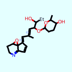 CCC(O)C(/C=C(C)/C=C1\C=CC2=NCCC3OC213)OC1CCC(O)C(C)O1